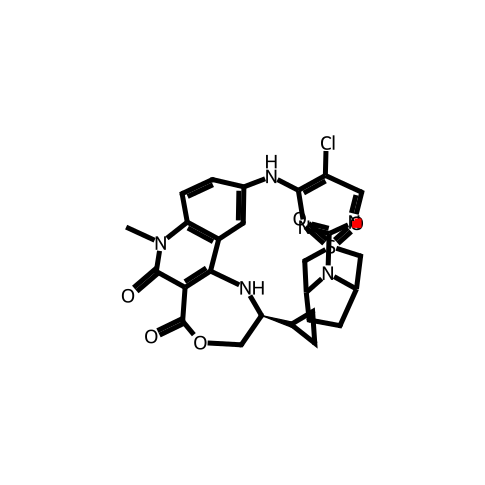 Cn1c(=O)c2c(c3cc(Nc4nc(N5C6CCC5CS(=O)(=O)C6)ncc4Cl)ccc31)N[C@@H](C1CC1)COC2=O